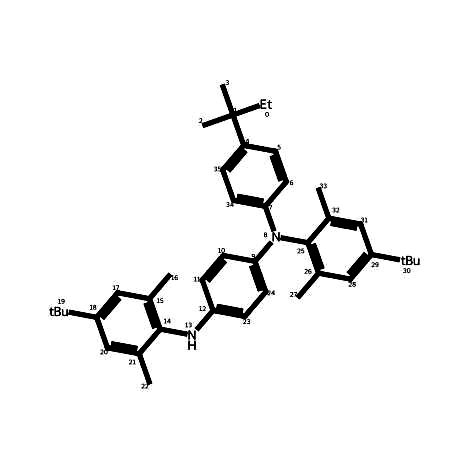 CCC(C)(C)c1ccc(N(c2ccc(Nc3c(C)cc(C(C)(C)C)cc3C)cc2)c2c(C)cc(C(C)(C)C)cc2C)cc1